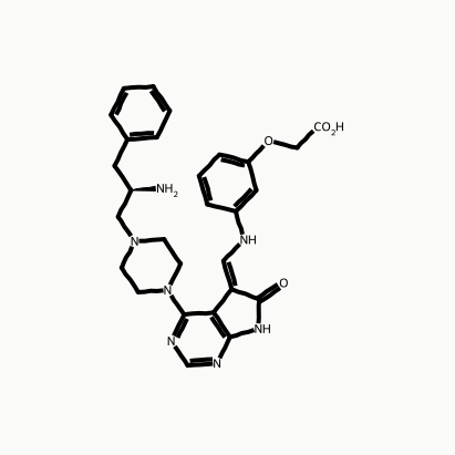 N[C@H](Cc1ccccc1)CN1CCN(c2ncnc3c2/C(=C/Nc2cccc(OCC(=O)O)c2)C(=O)N3)CC1